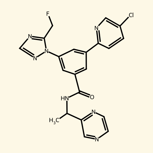 CC(NC(=O)c1cc(-c2ccc(Cl)cn2)cc(-n2ncnc2CF)c1)c1cnccn1